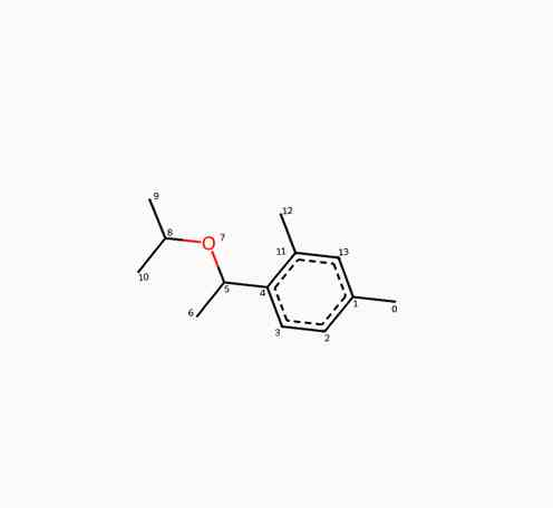 Cc1ccc(C(C)OC(C)C)c(C)c1